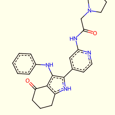 O=C(CN1CCCC1)Nc1cc(-c2[nH]c3c(c2Nc2ccccc2)C(=O)CCC3)ccn1